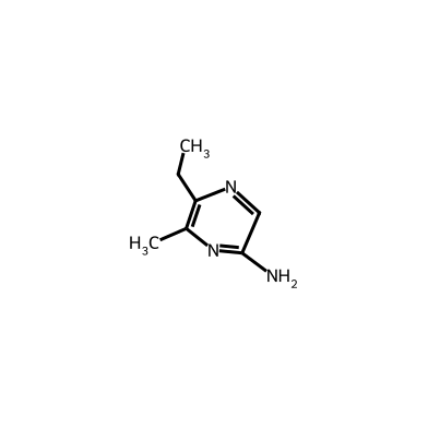 CCc1ncc(N)nc1C